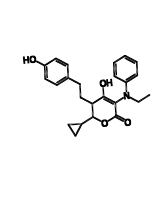 CCN(C1=C(O)C(CCc2ccc(O)cc2)C(C2CC2)OC1=O)c1ccccc1